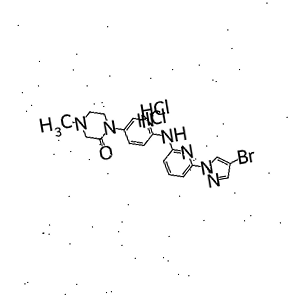 CN1CCN(c2ccc(Nc3cccc(-n4cc(Br)cn4)n3)nc2)C(=O)C1.Cl.Cl